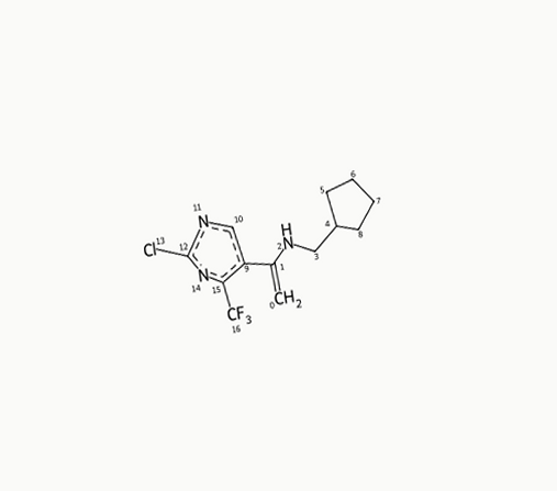 C=C(NCC1CCCC1)c1cnc(Cl)nc1C(F)(F)F